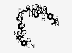 Cc1ncsc1-c1ccc(C(CO)NC(=O)[C@@H]2CCCN2C(=O)[C@@H](NC(=O)CCC(F)(F)CN2CCN(c3ccc(C(=O)N[C@H]4C(C)(C)[C@H](Oc5ccc(C#N)c(Cl)c5)C4(C)C)cn3)CC2)C(C)(C)C)cc1